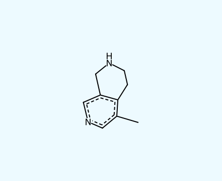 Cc1cncc2c1CCNC2